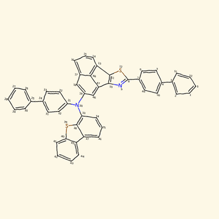 c1ccc(-c2ccc(-c3nc4c(s3)-c3cccc5cc(N(c6ccc(-c7ccccc7)cc6)c6cccc7c6sc6ccccc67)cc-4c35)cc2)cc1